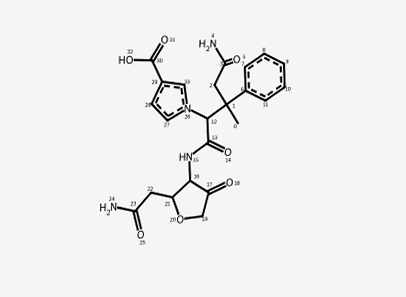 CC(CC(N)=O)(c1ccccc1)C(C(=O)NC1C(=O)COC1CC(N)=O)n1ccc(C(=O)O)c1